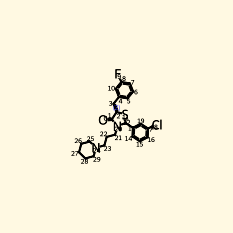 O=C1/C(=C/c2cccc(F)c2)SC(c2cccc(Cl)c2)N1CCCN1CCCCC1